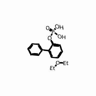 CCOCC.O=P(O)(O)Oc1ccccc1-c1ccccc1